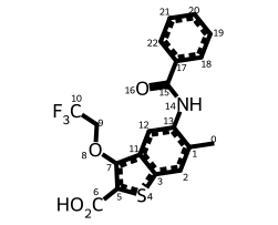 Cc1cc2sc(C(=O)O)c(OCC(F)(F)F)c2cc1NC(=O)c1ccccc1